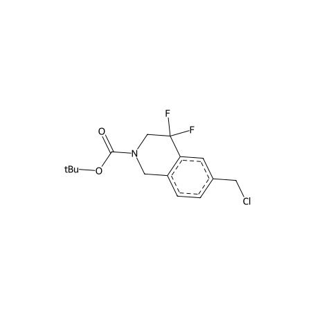 CC(C)(C)OC(=O)N1Cc2ccc(CCl)cc2C(F)(F)C1